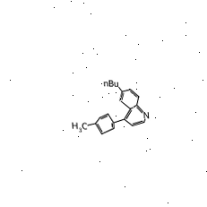 CCCCc1ccc2nccc(-c3ccc(C)cc3)c2c1